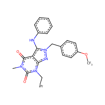 CC(C)Cn1c(=O)n(C)c(=O)c2c(Nc3ccccc3)n(Cc3ccc(OC(F)(F)F)cc3)nc21